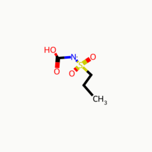 CCCS(=O)(=O)[N]C(=O)O